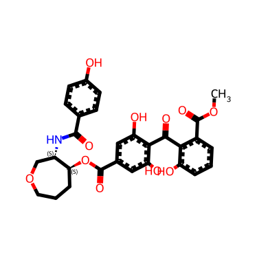 COC(=O)c1cccc(O)c1C(=O)c1c(O)cc(C(=O)O[C@H]2CCCOC[C@@H]2NC(=O)c2ccc(O)cc2)cc1O